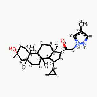 C[C@@]1(O)CC[C@@H]2C3CC[C@@]4(C)C([C@@H]3CC[C@@H]2C1)[C@H](C1CC1)C[C@@H]4C(=O)Cn1cc(C#N)cn1